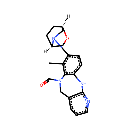 Cc1c(N2C[C@H]3CC[C@@H]2CO3)ccc2c1N(C=O)Cc1cccnc1N2